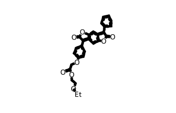 CCOCCOC(=O)COc1ccc(C2=c3cc4c(cc3OC2=O)=C(c2ccccc2)C(=O)O4)cc1